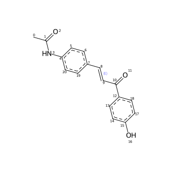 CC(=O)Nc1ccc(/C=C/C(=O)c2ccc(O)cc2)cc1